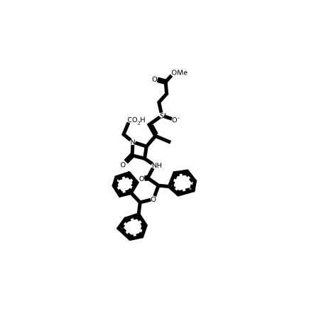 COC(=O)CC[S+]([O-])C=C(C)C1C(NC(=O)C(OC(c2ccccc2)c2ccccc2)c2ccccc2)C(=O)N1CC(=O)O